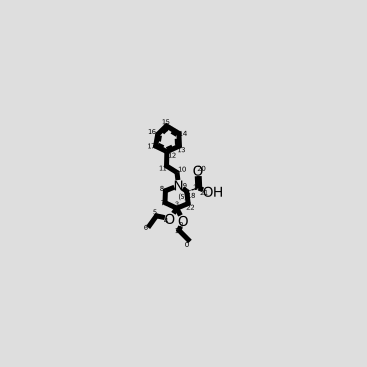 CCOC1(OCC)CCN(CCc2ccccc2)[C@H](C(=O)O)C1